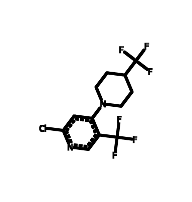 FC(F)(F)c1cnc(Cl)cc1N1CCC(C(F)(F)F)CC1